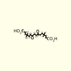 CC(C)(CCC(=O)O)CCC(=O)CCC(=O)CCC(C)(C)CCC(=O)O